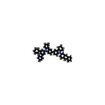 c1ccc2cc3cc(-n4c5ccccc5c5cc(-c6ccc7c(c6)c6ccccc6n7-c6cc7c8ccccc8n8c9ccccc9c(c6)c78)ccc54)ccc3cc2c1